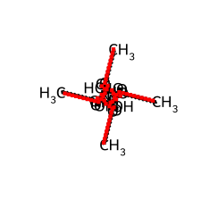 CCCCCCCCCCCCCCCCCCOc1ccc(-c2c3nc(c(-c4ccc(OCCCCCCCCCCCCCCCCCC)c(C(=O)O)c4)c4ccc([nH]4)c(-c4ccc(OCCCCCCCCCCCCCCCCCC)c(C(=O)O)c4)c4nc(c(-c5ccc(OCCCCCCCCCCCCCCCCCC)c(C(=O)O)c5)c5ccc2[nH]5)C=C4)C=C3)cc1C(=O)O